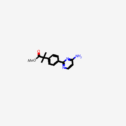 COC(=O)C(C)(C)c1ccc(-c2nccc(N)n2)cc1